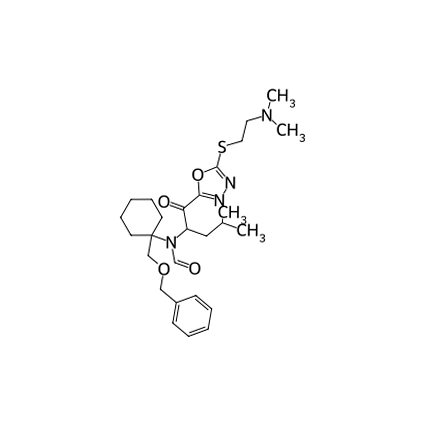 CC(C)CC(C(=O)c1nnc(SCCN(C)C)o1)N(C=O)C1(COCc2ccccc2)CCCCC1